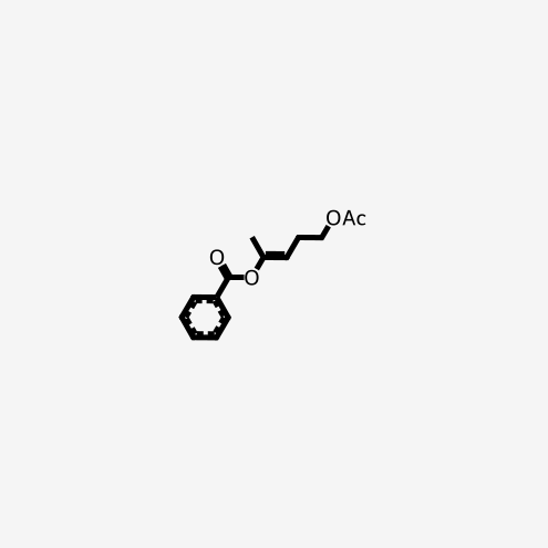 CC(=O)OCC/C=C(\C)OC(=O)c1ccccc1